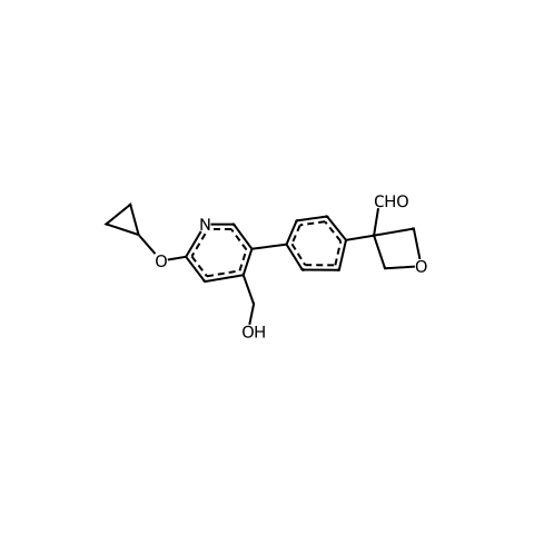 O=CC1(c2ccc(-c3cnc(OC4CC4)cc3CO)cc2)COC1